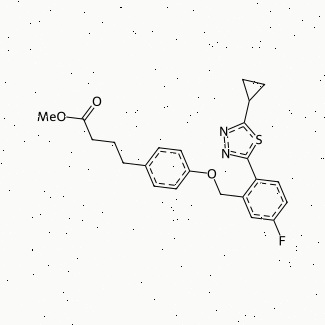 COC(=O)CCCc1ccc(OCc2cc(F)ccc2-c2nnc(C3CC3)s2)cc1